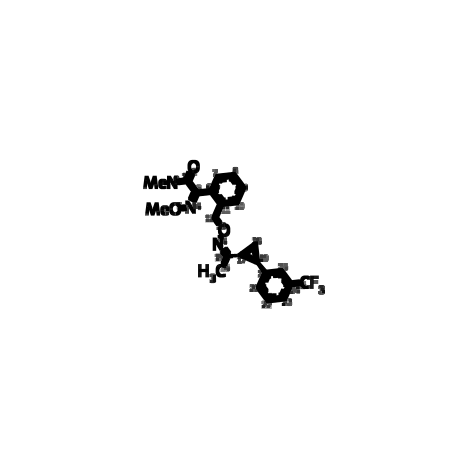 CNC(=O)C(=NOC)c1ccccc1CON=C(C)[C@@H]1C[C@H]1c1cccc(C(F)(F)F)c1